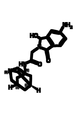 Nc1ccc2c(c1)C(O)N(CC(=O)N[C@@]13C[C@@H]4C[C@@H](C[N@](C4)C1)C3)C2=O